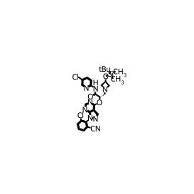 CC(C)(C)[Si](C)(C)OC1CN(C[C@H](Oc2ncnc3c2cnn3-c2c(Cl)cccc2C#N)C(=O)Nc2ccc(Cl)cn2)C1